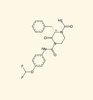 O=C(Nc1ccc(OC(F)F)cc1)N1CCN(C(=O)S)[C@@H](Cc2ccccc2)C1=O